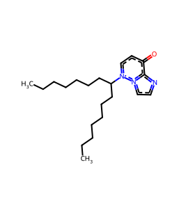 CCCCCCCC(CCCCCCC)n1ccc(=O)c2nccn21